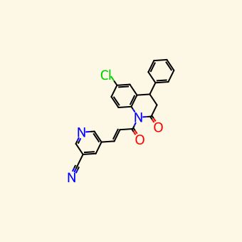 N#Cc1cncc(/C=C/C(=O)N2C(=O)CC(c3ccccc3)c3cc(Cl)ccc32)c1